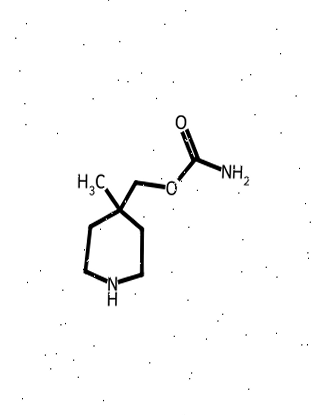 CC1(COC(N)=O)CCNCC1